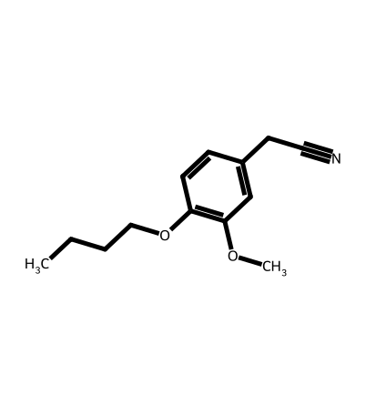 CCCCOc1ccc(CC#N)cc1OC